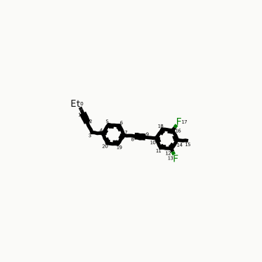 CCC#CCc1ccc(C#Cc2cc(F)c(C)c(F)c2)cc1